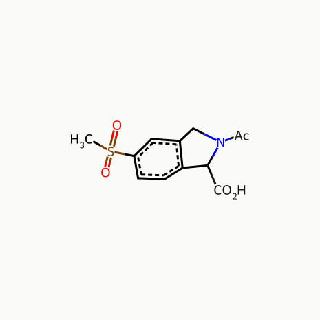 CC(=O)N1Cc2cc(S(C)(=O)=O)ccc2C1C(=O)O